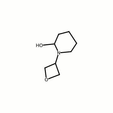 OC1CCCCN1C1COC1